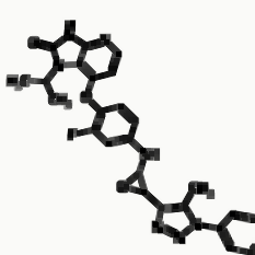 Cc1c(C2OC2Nc2ccc(Oc3ccnc4[nH]c(=O)n(C(C)C)c34)c(F)c2)nnn1-c1ccccc1